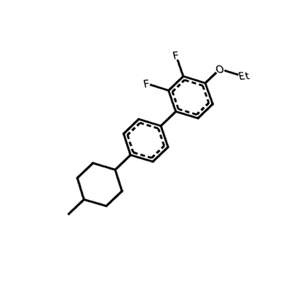 CCOc1ccc(-c2ccc(C3CCC(C)CC3)cc2)c(F)c1F